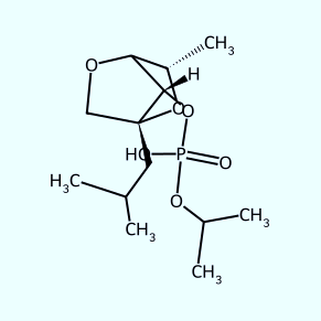 CC(C)C[C@]12COC([C@H](C)O1)[C@@H]2OP(=O)(O)OC(C)C